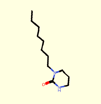 CCCCCCCCN1CCCNC1=O